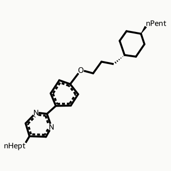 CCCCCCCc1cnc(-c2ccc(OCCC[C@H]3CC[C@H](CCCCC)CC3)cc2)nc1